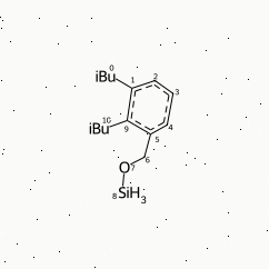 CCC(C)c1cccc(CO[SiH3])c1C(C)CC